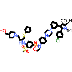 Cc1c(C(=O)O)c(-c2cccc(N3CCN(c4ccc(N5CCOP5(=O)c5ccc(NC(CCN6CCC(CO)CC6)CSc6ccccc6)c(S(C)(=O)=O)c5)cc4)CC3)c2)c(-c2ccc(Cl)cc2)n1C(C)C